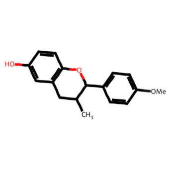 COc1ccc(C2Oc3ccc(O)cc3CC2C)cc1